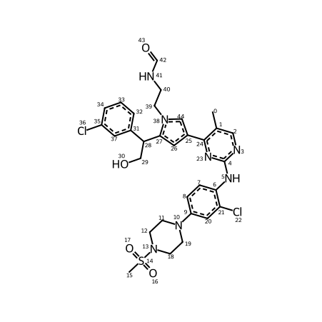 Cc1cnc(Nc2ccc(N3CCN(S(C)(=O)=O)CC3)cc2Cl)nc1-c1cc(C(CO)c2cccc(Cl)c2)n(CCNC=O)c1